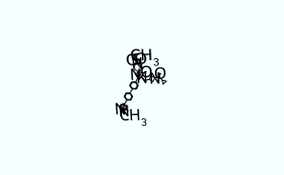 Cn1cc(-c2ccc(-c3ccc(C4=NC5(CCN(S(C)(=O)=O)CC5)C(=O)N4CC4CN(C(=O)C5CC5)C4)cc3)cc2)cn1